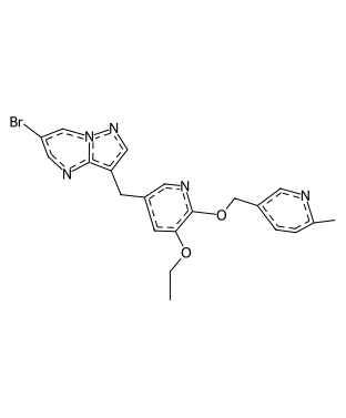 CCOc1cc(Cc2cnn3cc(Br)cnc23)cnc1OCc1ccc(C)nc1